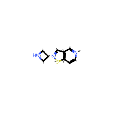 C1CNC1.c1cc2sncc2cn1